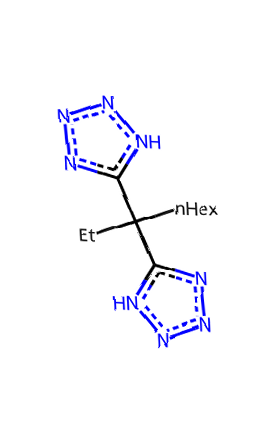 CCCCCCC(CC)(c1nnn[nH]1)c1nnn[nH]1